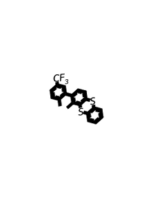 Cc1ccc(C(F)(F)F)cc1-c1ccc2c(c1C)Sc1ccccc1S2